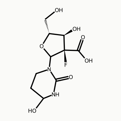 O=C1NC(O)CCN1C1O[C@H](CO)[C@@H](O)[C@]1(F)C(=O)O